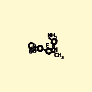 Cc1nn(-c2cccc(CN)c2)c2c(F)c(-c3ccc(N4CCCCS4(=O)=O)cc3)ccc12